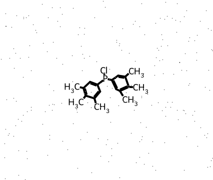 Cc1cc(P(Cl)c2cc(C)c(C)c(C)c2)cc(C)c1C